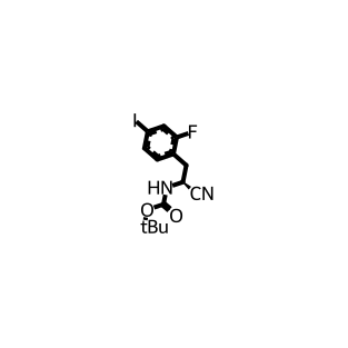 CC(C)(C)OC(=O)N[C@H](C#N)Cc1ccc(I)cc1F